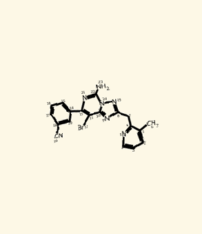 Cc1cccnc1Cc1nc2c(Br)c(-c3cccc(C#N)c3)nc(N)n2n1